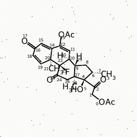 CC(=O)OCC(=O)[C@@]1(O)[C@@H](C)C[C@H]2[C@@H]3C=C(OC(C)=O)C4=CC(=O)C=C[C@]4(C)[C@@]3(F)C(=O)C[C@@]21C